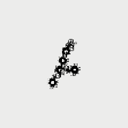 CS(=O)(=O)OC1CCN(c2ccc(-c3ccc(OCc4ccccc4)nc3OCc3ccccc3)cc2)CC1